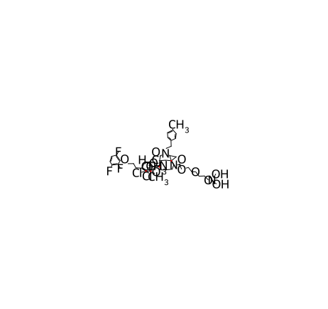 Cc1ccc(CCN(C(=O)C2(C)C(c3ccc(CCCOc4c(F)ccc(F)c4F)cc3)CC3CN(C(=O)OCCOCCON(O)O)CC2N3C(=O)OC(C)(C)C(Cl)(Cl)Cl)C2CC2)cc1